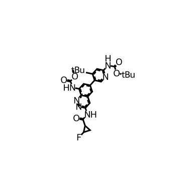 Cc1cc(NC(=O)OC(C)(C)C)ncc1-c1cc(NC(=O)OC(C)(C)C)c2nnc(NC(=O)C3CC3F)cc2c1